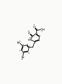 O=C(O)c1ccc(Cc2cc(Br)cc(Br)c2)[nH]c1=O